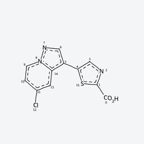 O=C(O)c1ncc(-c2cnn3ccc(Cl)cc23)s1